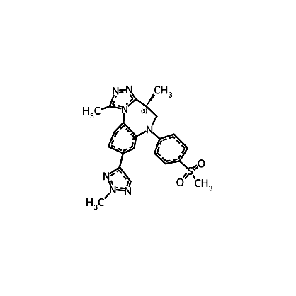 Cc1nnc2n1-c1ccc(-c3cnn(C)n3)cc1N(c1ccc(S(C)(=O)=O)cc1)C[C@@H]2C